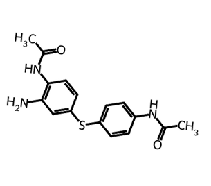 CC(=O)Nc1ccc(Sc2ccc(NC(C)=O)c(N)c2)cc1